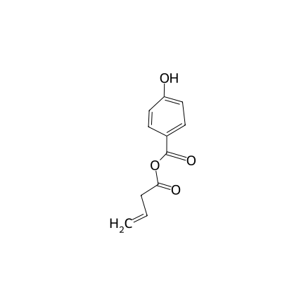 C=CCC(=O)OC(=O)c1ccc(O)cc1